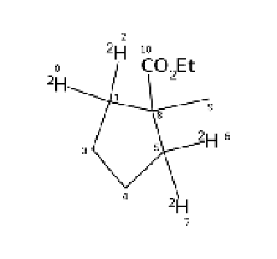 [2H]C1([2H])CCC([2H])([2H])C1(C)C(=O)OCC